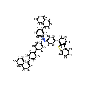 c1cc(-c2cccc3ccccc23)cc(N(c2ccc(-c3ccc(-c4cccc5ccccc45)cc3)cc2)c2ccc(-c3cccc4c3sc3ccccc34)cc2)c1